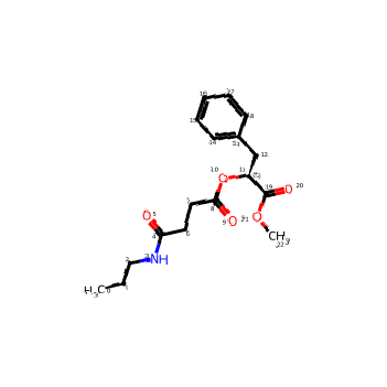 CCCNC(=O)CCC(=O)O[C@@H](Cc1ccccc1)C(=O)OC